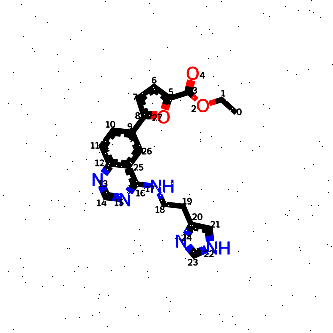 CCOC(=O)c1ccc(-c2ccc3ncnc(NCCc4c[nH]cn4)c3c2)o1